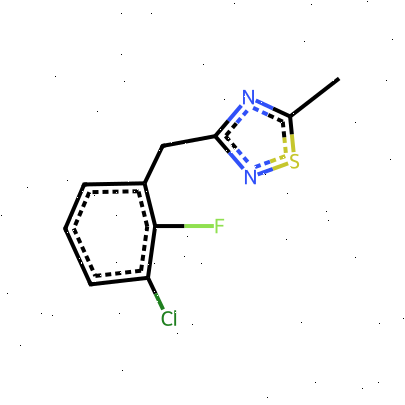 Cc1nc(Cc2cccc(Cl)c2F)ns1